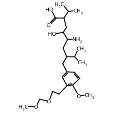 COCOCCc1cc(CC(CC(N)C(O)CC(C(=O)O)C(C)C)C(C)C)ccc1OC